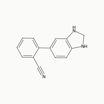 N#Cc1ccccc1-c1ccc2c(c1)NCN2